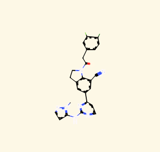 Cn1nccc1Nc1nccc(-c2cc(C#N)c3c(c2)CCN3C(=O)Cc2ccc(Cl)c(F)c2)n1